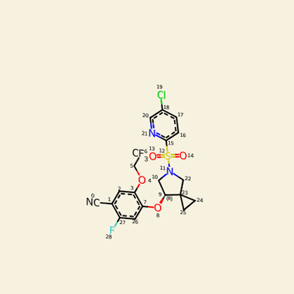 N#Cc1cc(OCC(F)(F)F)c(O[C@H]2CN(S(=O)(=O)c3ccc(Cl)cn3)CC23CC3)cc1F